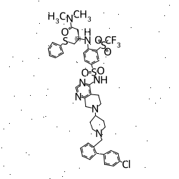 CN(C)C(=O)C[C@H](CSc1ccccc1)Nc1ccc(S(=O)(=O)Nc2ncnc3c2CCN(C2CCN(Cc4ccccc4-c4ccc(Cl)cc4)CC2)C3)cc1S(=O)(=O)C(F)(F)F